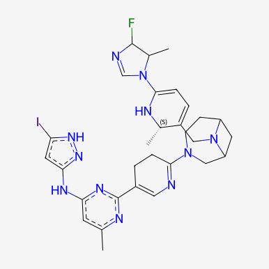 Cc1cc(Nc2cc(I)[nH]n2)nc(C2=CN=C(N3CCC4CC(C3)N4CC3=CC=C(N4C=NC(F)C4C)N[C@H]3C)CC2)n1